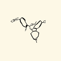 CN1CCc2c(n(CC(O)c3ccc(C=O)cc3F)c3ccc(Cl)cc23)CC1